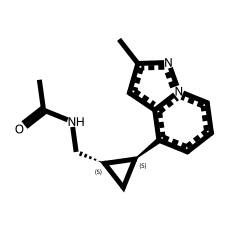 CC(=O)NC[C@H]1C[C@@H]1c1cccn2nc(C)cc12